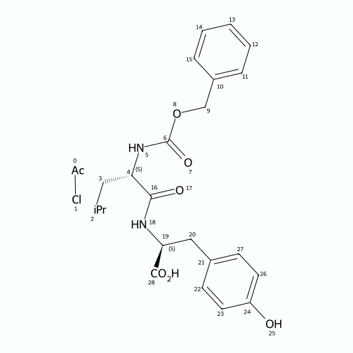 CC(=O)Cl.CC(C)C[C@H](NC(=O)OCc1ccccc1)C(=O)N[C@@H](Cc1ccc(O)cc1)C(=O)O